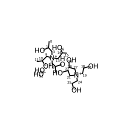 CC(O)C[N+](CC(C)O)(CC(C)O)CC(C)O.OCC[N+](CCO)(CCO)CCO.[OH-].[OH-]